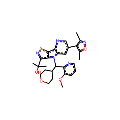 COc1cccnc1C(C1CCOCC1)n1c2cc(-c3c(C)noc3C)cnc2c2snc(C(C)(C)O)c21